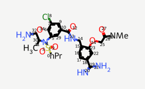 CCCS(=O)(=O)N(c1cc(Cl)cc(C(=O)NCc2ccc(C(=N)N)cc2OCC(=O)NC)c1)C(C)C(N)=O